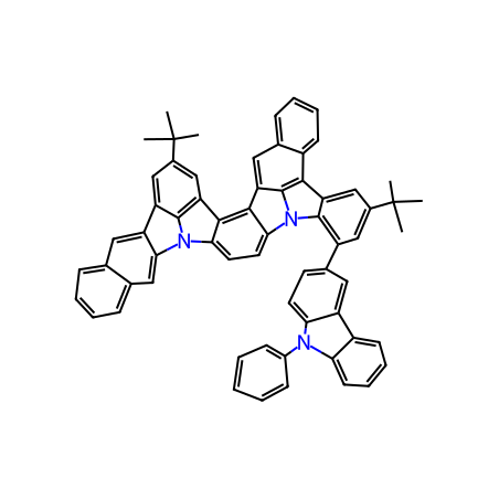 CC(C)(C)c1cc(-c2ccc3c(c2)c2ccccc2n3-c2ccccc2)c2c(c1)c1c3ccccc3cc3c4c5c6cc(C(C)(C)C)cc7c8cc9ccccc9cc8n(c5ccc4n2c31)c76